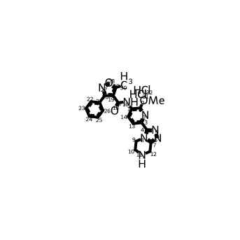 COc1nc(-c2nnc3n2CCNC3)ccc1NC(=O)c1c(-c2ccccc2)noc1C.Cl.Cl